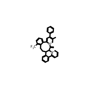 C=C1C2C(CCc3c(cccc3C(F)(F)F)-c3cc(-c4ccccc4)c(C)c[n+]31)c1ccccc1-c1cccc[n+]12